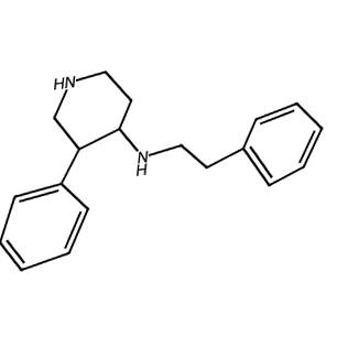 c1ccc(CCNC2CCNCC2c2ccccc2)cc1